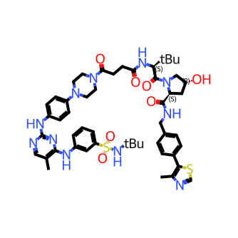 Cc1cnc(Nc2ccc(N3CCN(C(=O)CCC(=O)N[C@H](C(=O)N4C[C@H](O)C[C@H]4C(=O)NCc4ccc(-c5scnc5C)cc4)C(C)(C)C)CC3)cc2)nc1Nc1cccc(S(=O)(=O)NC(C)(C)C)c1